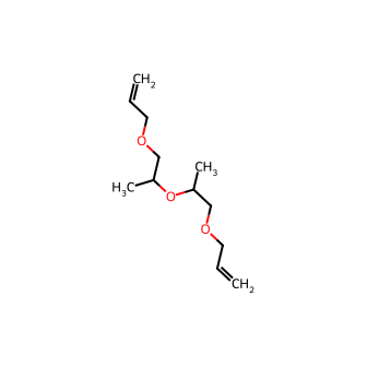 C=CCOCC(C)OC(C)COCC=C